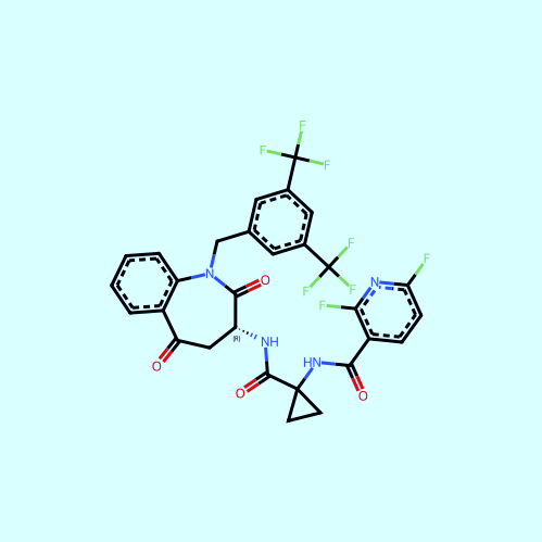 O=C1C[C@@H](NC(=O)C2(NC(=O)c3ccc(F)nc3F)CC2)C(=O)N(Cc2cc(C(F)(F)F)cc(C(F)(F)F)c2)c2ccccc21